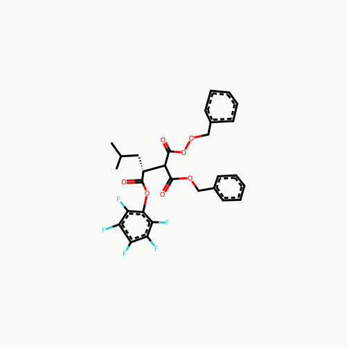 CC(C)C[C@@H](C(=O)Oc1c(F)c(F)c(F)c(F)c1F)C(C(=O)OCc1ccccc1)C(=O)OOCc1ccccc1